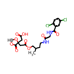 CC(CCNC(=O)CNC(=O)c1cc(Cl)ccc1Cl)COC(=O)CC1(CC(=O)O)OBOC1=O